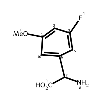 COc1cc(F)cc(C(N)C(=O)O)c1